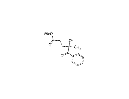 COC(=O)CCC(C)([O])C(=O)c1ccccc1